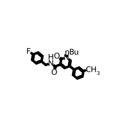 CCCCn1cc(-c2cccc(C)c2)cc(C(=O)NCc2ccc(F)cc2)c1=O